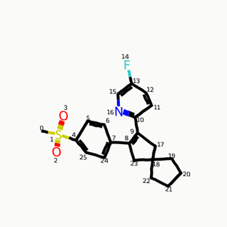 CS(=O)(=O)c1ccc(C2=C(c3ccc(F)cn3)CC3(CCCC3)C2)cc1